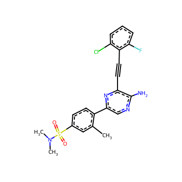 Cc1cc(S(=O)(=O)N(C)C)ccc1-c1cnc(N)c(C#Cc2c(F)cccc2Cl)n1